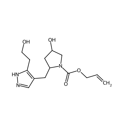 C=CCOC(=O)N1CC(O)CC1Cc1cn[nH]c1CCO